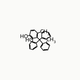 Cc1ccccc1C(c1ccccc1)(c1ccccc1)c1c(C)ccc(O)c1O